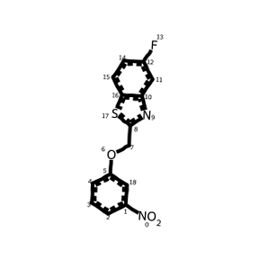 O=[N+]([O-])c1cccc(OCc2nc3cc(F)ccc3s2)c1